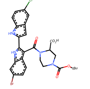 CC(C)(C)OC(=O)N1CCN(C(=O)c2c(-c3cc4cc(Cl)ccc4[nH]3)[nH]c3cc(Br)ccc23)C(C(=O)O)C1